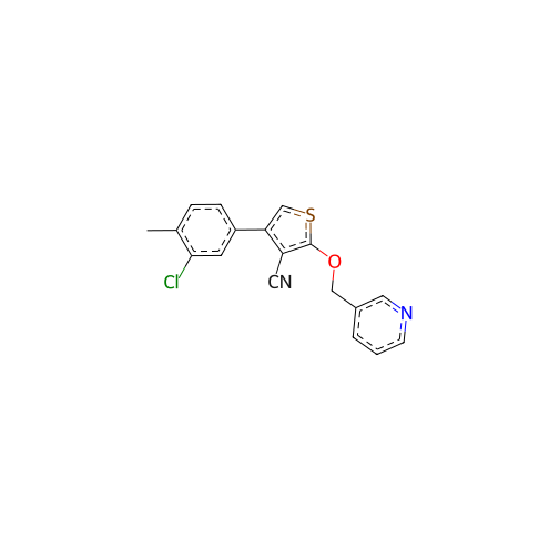 Cc1ccc(-c2csc(OCc3cccnc3)c2C#N)cc1Cl